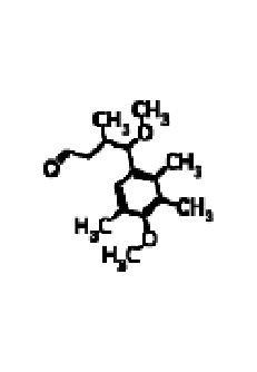 COc1c(C)cc(C(OC)C(C)CC=O)c(C)c1C